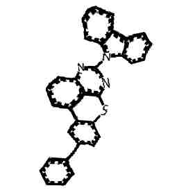 c1ccc(-c2ccc3c(c2)-c2cccc4nc(-n5c6ccccc6c6ccccc65)nc(c24)S3)cc1